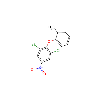 CC1CC=CC=C1Oc1c(Cl)cc([N+](=O)[O-])cc1Cl